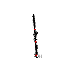 CCCCCCC=CCCCCCCCCCCCC(=O)OCCCCCCCCCCCCCCCCCCCC(=O)O